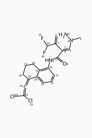 C=C(/C(=C\N(C)N)C(=O)Nc1cccc2c1CCCC2=C=C(Cl)Cl)C(F)F